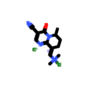 CC1CC/C(=C\[N+](C)(C)Cl)c2ncc(C#N)c(=O)n21.[Cl-]